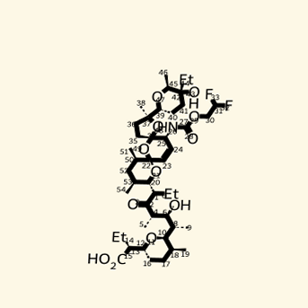 CCC(C(=O)[C@@H](C)[C@@H](O)[C@H](C)[C@@H]1O[C@@H]([C@@H](CC)C(=O)O)CC[C@@H]1C)[C@H]1O[C@]2(C=C[C@@H](NC(=O)OCC(F)F)[C@]3(CC[C@@](C)([C@H]4CC[C@](O)(CC)[C@H](C)O4)O3)O2)[C@H](C)C[C@@H]1C